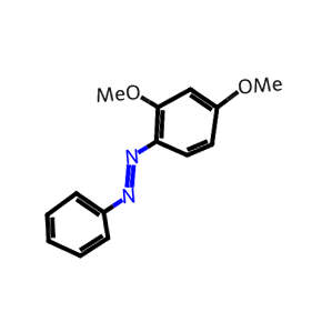 COc1ccc(/N=N/c2ccccc2)c(OC)c1